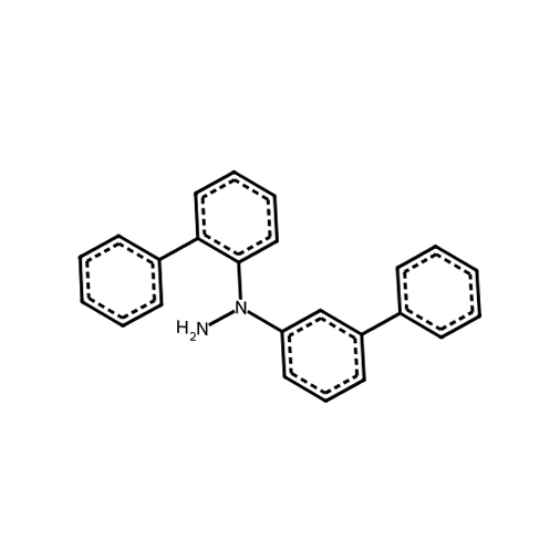 NN(c1cccc(-c2ccccc2)c1)c1ccccc1-c1ccccc1